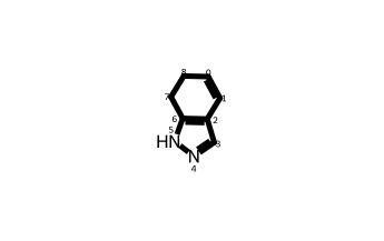 C1=Cc2cn[nH]c2CC1